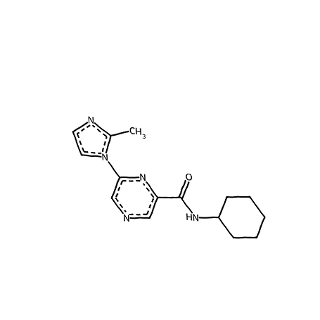 Cc1nccn1-c1cncc(C(=O)NC2CCCCC2)n1